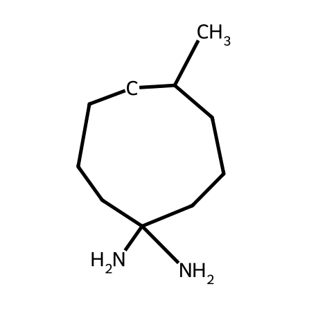 CC1CCCCC(N)(N)CCC1